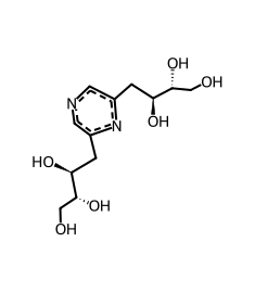 OC[C@@H](O)[C@@H](O)Cc1cncc(C[C@H](O)[C@H](O)CO)n1